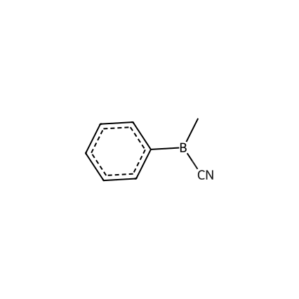 CB(C#N)c1ccccc1